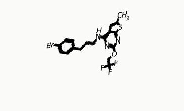 Cc1cc2c(NCCCc3ccc(Br)cc3)nc(OCC(F)(F)F)nc2s1